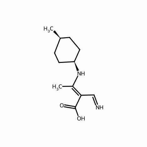 C/C(N[C@H]1CC[C@@H](C)CC1)=C(/C=N)C(=O)O